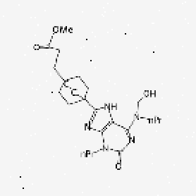 CCCN(CO)c1nc(=O)n(CCC)c2nc(C34CCC(CCC(=O)OC)(CC3)CC4)[nH]c12